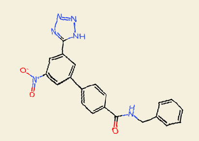 O=C(NCc1ccccc1)c1ccc(-c2cc(-c3nnn[nH]3)cc([N+](=O)[O-])c2)cc1